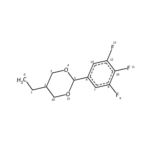 CCC1COC(c2cc(F)c(F)c(F)c2)OC1